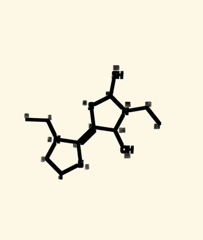 CCN1CCS/C1=C1/SC(S)N(CC)C1O